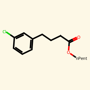 CCCCCOC(=O)[CH]CCc1cccc(Cl)c1